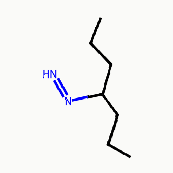 CCCC(CCC)N=N